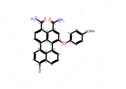 COc1ccc(Oc2cc(C(N)=O)c3c(C(N)=O)ccc4c5ccc(Br)c6cccc(c2c34)c65)cc1